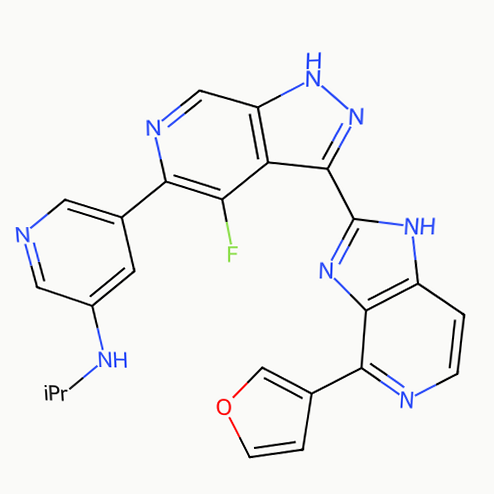 CC(C)Nc1cncc(-c2ncc3[nH]nc(-c4nc5c(-c6ccoc6)nccc5[nH]4)c3c2F)c1